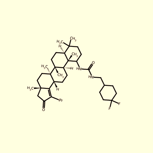 CC(C)C1=C2[C@H]3CC[C@@H]4[C@@]5(C)C(NC(=O)NCC6CCC(F)(F)CC6)CCC(C)(C)[C@@H]5CC[C@@]4(C)[C@]3(C)CC[C@@]2(C)CC1=O